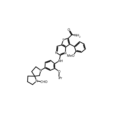 COc1ccccc1-c1c(C(N)=O)sc2cnc(Nc3ccc(N4CCC5(CCCN5C=O)C4)cc3OC(C)C)nc12